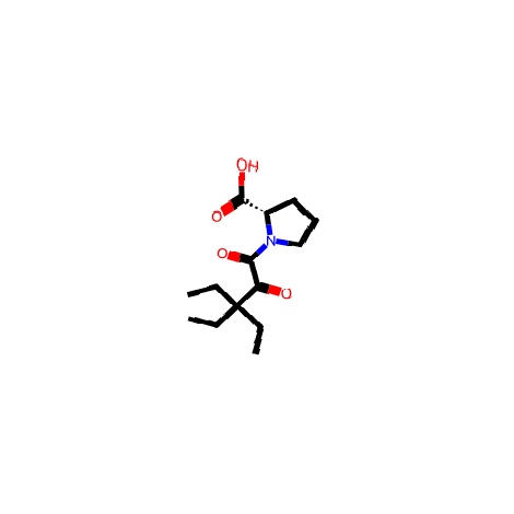 CCC(CC)(CC)C(=O)C(=O)N1CCC[C@H]1C(=O)O